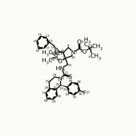 CC(C)(C)OC(=O)N1CC(OCc2ccccc2)C(CNC(=S)N2CCc3ccccc3[C@@H]2c2ccc(F)cc2)(O[Si](C)(C)C)C1